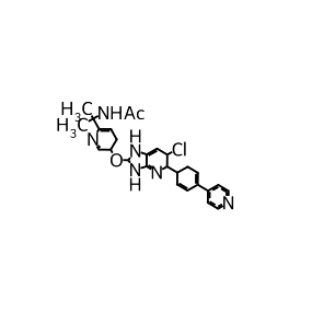 CC(=O)NC(C)(C)C1=CCC(OC2NC3=CC(Cl)C(C4C=CC(c5ccncc5)=CC4)N=C3N2)C=N1